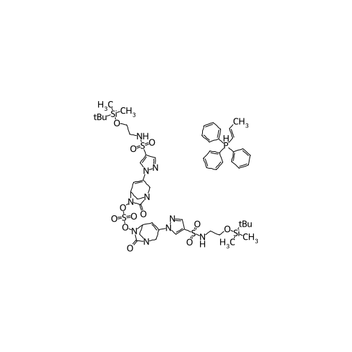 C/C=C/[PH](c1ccccc1)(c1ccccc1)c1ccccc1.CC(C)(C)[Si](C)(C)OCCNS(=O)(=O)c1cnn(C2=CC3CN(C2)C(=O)N3OS(=O)(=O)ON2C(=O)N3CC(n4cc(S(=O)(=O)NCCO[Si](C)(C)C(C)(C)C)cn4)=CC2C3)c1